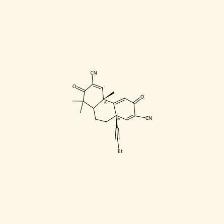 CCC#C[C@]12C=C(C#N)C(=O)C=C1[C@@]1(C)C=C(C#N)C(=O)C(C)(C)C1CC2